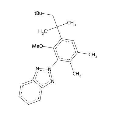 COc1c(C(C)(C)CC(C)(C)C)cc(C)c(C)c1-n1nc2ccccc2n1